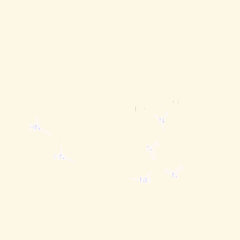 CN(C)c1nc(NC2CCC(NC(=S)Nc3ccc(F)cc3)CC2)nc2ccccc12